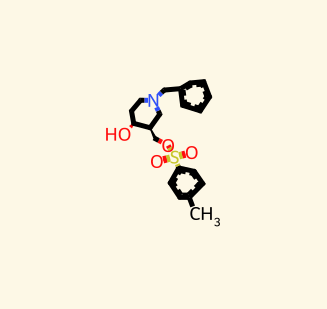 Cc1ccc(S(=O)(=O)OC[C@@H]2CN(Cc3ccccc3)CC[C@@H]2O)cc1